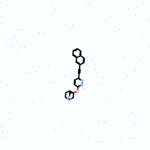 C(#Cc1ccc(OC2CN3CCC2CC3)nn1)c1ccc2ccccc2c1